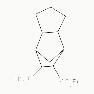 CCOC(=O)C1C2CC(C3CCCC32)C1C(=O)O